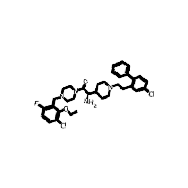 CCOc1c(Cl)ccc(F)c1CN1CCN(C(=O)[C@H](N)C2CCN(CCc3cc(Cl)ccc3-c3ccccc3)CC2)CC1